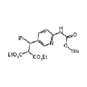 CCOC(=O)C(C(=O)OCC)C(c1ccc(NC(=O)OC(C)(C)C)nc1)C(C)C